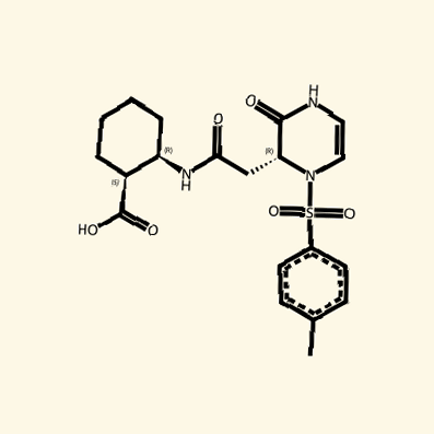 Cc1ccc(S(=O)(=O)N2C=CNC(=O)[C@H]2CC(=O)N[C@@H]2CCCC[C@@H]2C(=O)O)cc1